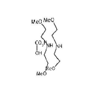 COCCNCCOC.COCCNCCOC.O=C(O)O